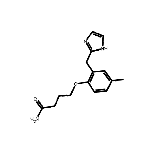 Cc1ccc(OCCCC(N)=O)c(Cc2ncc[nH]2)c1